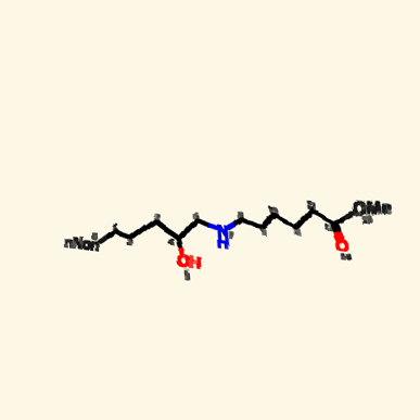 CCCCCCCCCCCCC(O)CNCCCCCC(=O)OC